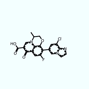 CC1COc2c(-c3cc(Cl)c4nccn4c3)c(F)cc3c(=O)c(C(=O)O)cn1c23